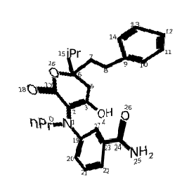 CCCN(C1=C(O)CC(CCc2ccccc2)(C(C)C)OC1=O)c1cccc(C(N)=O)c1